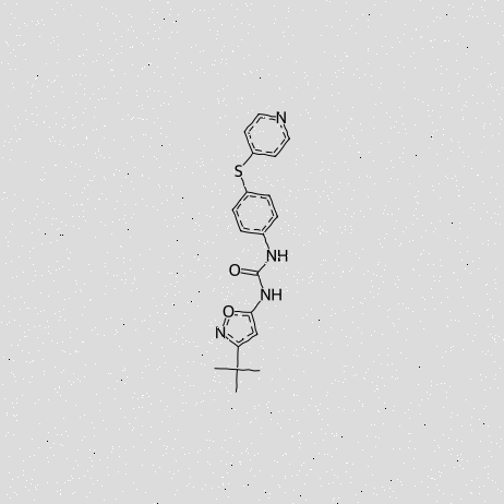 CC(C)(C)c1cc(NC(=O)Nc2ccc(Sc3ccncc3)cc2)on1